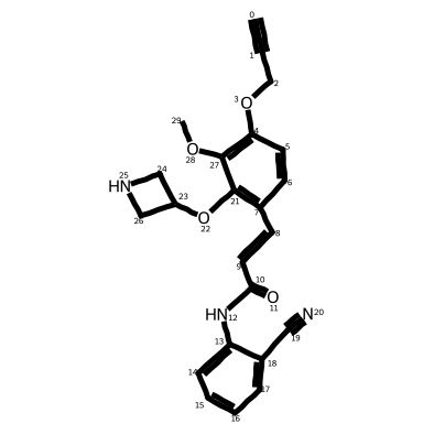 C#CCOc1ccc(/C=C/C(=O)Nc2ccccc2C#N)c(OC2CNC2)c1OC